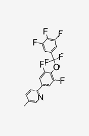 Cc1ccc(-c2cc(F)c(OC(F)(F)c3cc(F)c(F)c(F)c3)c(F)c2)nc1